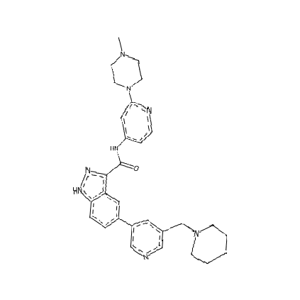 CN1CCN(c2cc(NC(=O)c3n[nH]c4ccc(-c5cncc(CN6CCCCC6)c5)cc34)ccn2)CC1